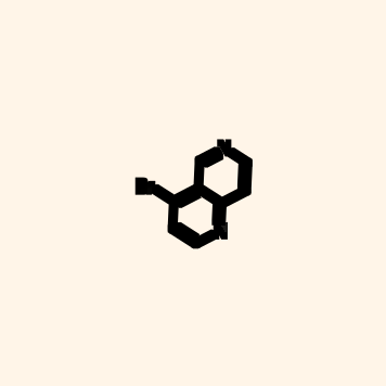 Brc1ccnc2ccncc12